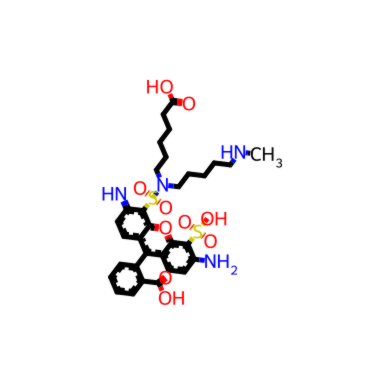 CNCCCCCN(CCCCCC(=O)O)S(=O)(=O)c1c2oc3c(S(=O)(=O)O)c(N)ccc3c(-c3ccccc3C(=O)O)c-2ccc1=N